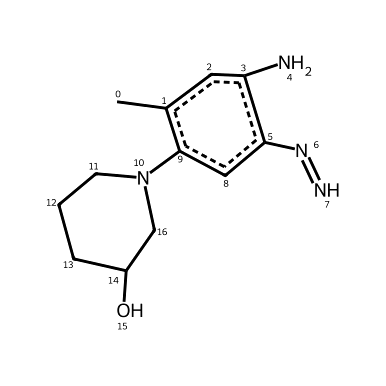 Cc1cc(N)c(N=N)cc1N1CCCC(O)C1